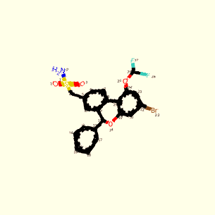 NS(=O)(=O)Cc1ccc2c(c1)C(c1ccccc1)Oc1cc(Br)cc(OC(F)F)c1-2